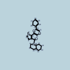 Cn1ncc(C(=O)N2CCCC3CCCCC32)c1C1=COC=C(C2=CC=CCC2)O1